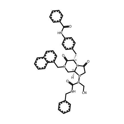 N#CCN(C(=O)NCc1ccccc1)N1CC(=O)N2[C@@H](Cc3ccc(NC(=O)c4ccccc4)cc3)C(=O)N(Cc3cccc4ccccc34)C[C@@H]21